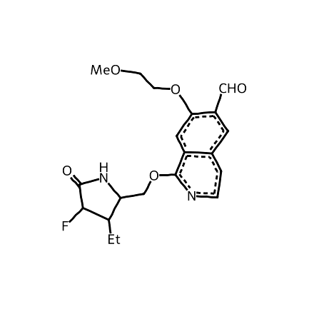 CCC1C(COc2nccc3cc(C=O)c(OCCOC)cc23)NC(=O)C1F